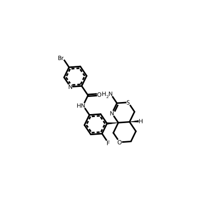 NC1=N[C@@]2(c3cc(NC(=O)c4ccc(Br)cn4)ccc3F)COCC[C@H]2CS1